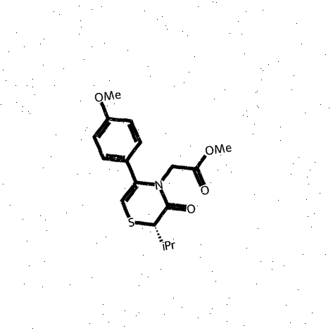 COC(=O)CN1C(=O)[C@H](C(C)C)SC=C1c1ccc(OC)cc1